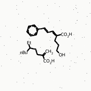 C=C(CCC(CC)CCCC)C(=O)O.O=C(O)C(=CC=Cc1ccccc1)CCCO